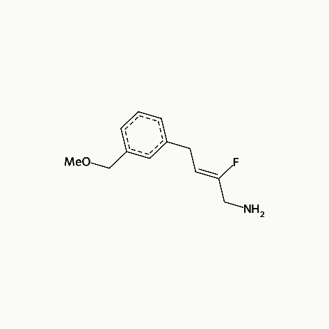 COCc1cccc(CC=C(F)CN)c1